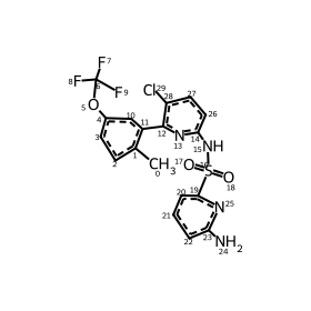 Cc1ccc(OC(F)(F)F)cc1-c1nc(NS(=O)(=O)c2cccc(N)n2)ccc1Cl